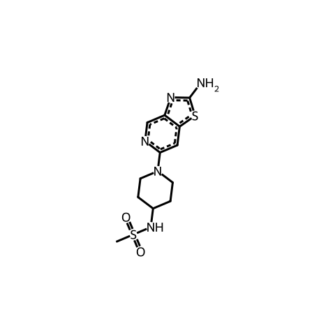 CS(=O)(=O)NC1CCN(c2cc3sc(N)nc3cn2)CC1